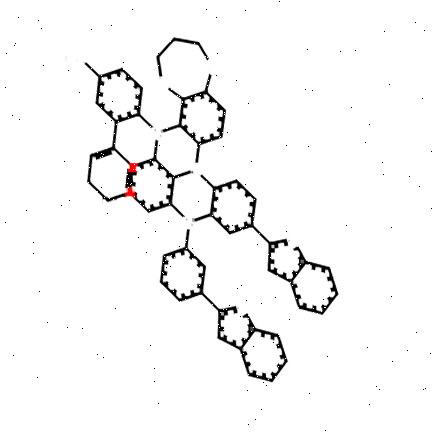 Cc1cc2c3c(c1)N(c1ccc(C(C)(C)C)cc1C1=CCCC=C1)c1c(ccc4c1OCCCO4)B3c1ccc(-c3cc4ccccc4o3)cc1N2c1cccc(-c2cc3ccccc3o2)c1